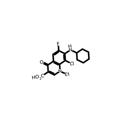 CCn1cc(C(=O)O)c(=O)c2cc(F)c(NC3CCCCC3)c(Cl)c21